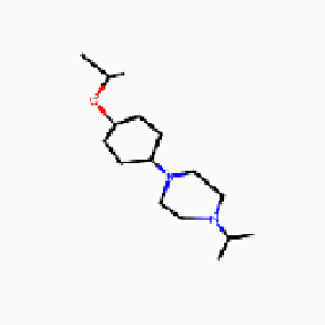 CC(C)O[C@H]1CC[C@@H](N2CCN(C(C)C)CC2)CC1